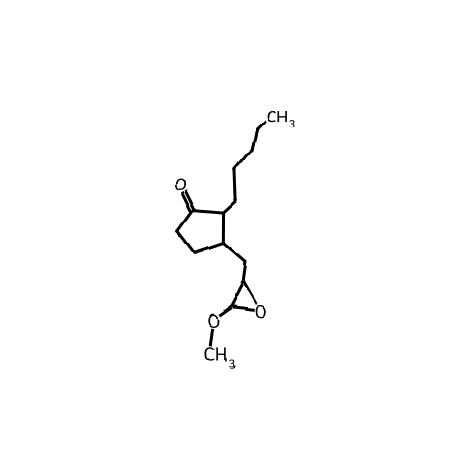 CCCCCC1C(=O)CCC1CC1OC1OC